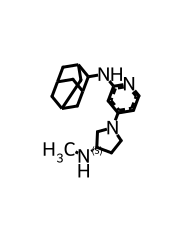 CN[C@H]1CCN(c2ccnc(NC3C4CC5CC(C4)CC3C5)c2)C1